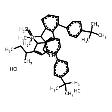 CCC1=Cc2c(-c3ccc(C(C)(C)C)cc3)cccc2[CH]1[Zr]([CH3])([CH3])(=[SiH2])[CH]1C(C(C)CC)=Cc2c(-c3ccc(C(C)(C)C)cc3)cccc21.Cl.Cl